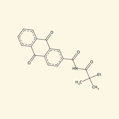 CCC(C)(C)C(=O)NC(=O)c1ccc2c(c1)C(=O)c1ccccc1C2=O